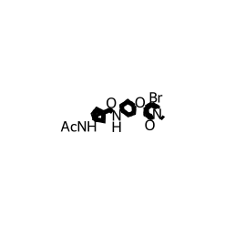 CC(=O)NC12CCC(C(=O)NC3CCC(Oc4cc(=O)n(C)cc4Br)CC3)(C1)C2